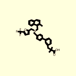 Cc1ccc2ccccc2c1CN(Cc1ccc(-c2cccc(CC(C)(C)C(=O)O)c2)cc1)Cc1ccc(C(F)(F)F)o1